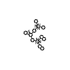 c1ccc(-c2nc(-c3ccccc3)nc(-c3ccc(-c4cc(-c5cccc(-c6nc(-c7ccc8ccccc8c7)nc(-c7cccc8ccccc78)n6)c5)cc5c4sc4ccccc45)cc3)n2)cc1